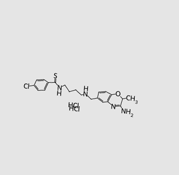 CC1Oc2ccc(CNCCCCNC(=S)c3ccc(Cl)cc3)cc2N=C1N.Cl.Cl